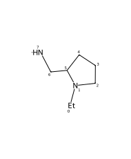 CCN1CCCC1C[NH]